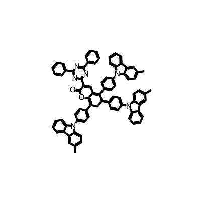 Cc1ccc2c(c1)c1ccccc1n2-c1ccc(C2=c3cc(-c4nc(-c5ccccc5)nc(-c5ccccc5)n4)c(=O)oc3=C(c3ccc(-n4c5ccccc5c5cc(C)ccc54)cc3)CC2c2ccc(-n3c4ccccc4c4cc(C)ccc43)cc2)cc1